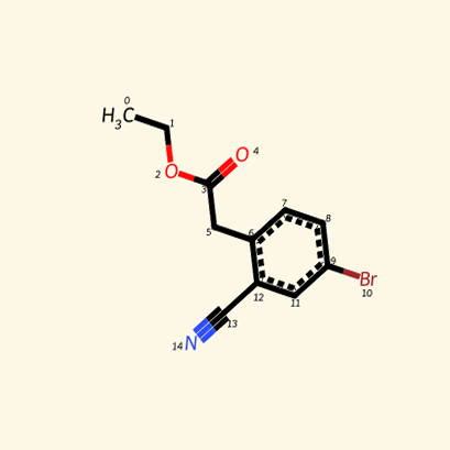 CCOC(=O)Cc1ccc(Br)cc1C#N